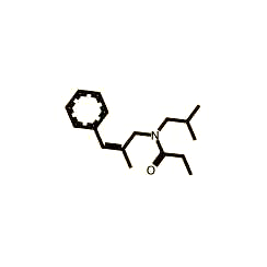 CCC(=O)N(C/C(C)=C\c1ccccc1)CC(C)C